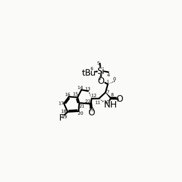 C[C@@H](O[Si](C)(C)C(C)(C)C)[C@H]1C(=O)N[C@@H]1[C@H]1CCc2ccc(F)cc2C1=O